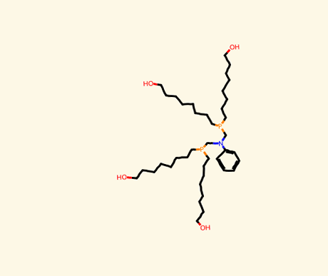 OCCCCCCCCP(CCCCCCCCO)CN(CP(CCCCCCCCO)CCCCCCCCO)c1ccccc1